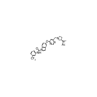 CC(=O)N(C)C1CCN(Cc2cc(Oc3ccc4c(ccn4C(=O)Nc4cccc(C(F)(F)F)c4)c3)ncn2)C1